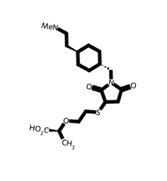 CNCC[C@H]1CC[C@H](CN2C(=O)CC(SCCO[C@@H](C)C(=O)O)C2=O)CC1